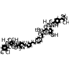 Cc1ncsc1-c1ccc([C@H](C)NC(=O)[C@@H]2C[C@@H](O)CN2C(=O)C(NC(=O)CN2CCN(CCC3CCN(c4ccc(C(=O)NC5C(C)(C)C(Oc6ccc(C#N)c(Cl)c6)C5(C)C)cn4)C3)CC2)C(C)(C)C)cc1